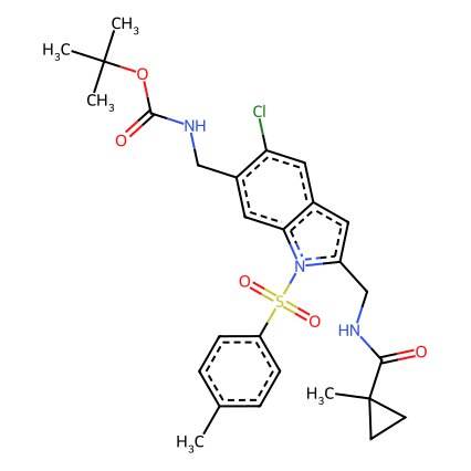 Cc1ccc(S(=O)(=O)n2c(CNC(=O)C3(C)CC3)cc3cc(Cl)c(CNC(=O)OC(C)(C)C)cc32)cc1